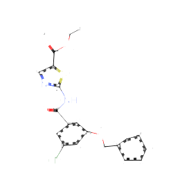 CCOC(=O)c1cnc(NC(=O)c2cc(Cl)cc(OCc3ccccc3)c2)s1